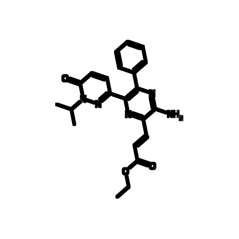 CCOC(=O)C=Cc1nc(-c2ccc(=O)n(C(C)C)n2)c(-c2ccccc2)nc1N